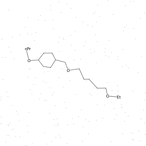 CCCOC1CCC(COCCCCCOCC)CC1